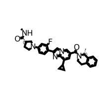 CNC(=O)[C@H]1CCN(c2ccc(-c3cn4cc(C(=O)N5CCc6ccccc6[C@H]5C)cc(C5CC5)c4n3)c(F)c2)C1